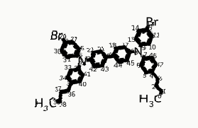 CCCCc1ccc(N(c2ccc(Br)cc2)c2ccc(-c3ccc(N(c4ccc(Br)cc4)c4ccc(CCCC)cc4)cc3)cc2)cc1